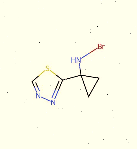 BrNC1(c2nncs2)CC1